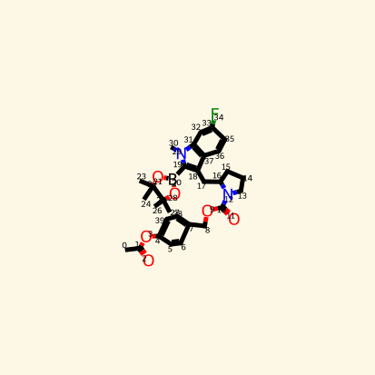 CC(=O)Oc1ccc(COC(=O)N2CCCC2Cc2c(B3OC(C)(C)C(C)(C)O3)n(C)c3cc(F)ccc23)cc1